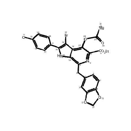 CCOC(=O)c1nc(Cc2ccc3c(c2)OCO3)c2[nH]c(-c3ccc(Cl)cc3)c(Br)c2c1OC(=O)C(C)(C)C